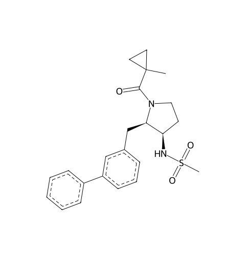 CC1(C(=O)N2CC[C@@H](NS(C)(=O)=O)[C@H]2Cc2cccc(-c3ccccc3)c2)CC1